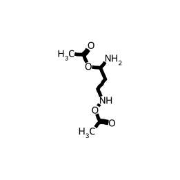 CC(=O)ONCCC(N)OC(C)=O